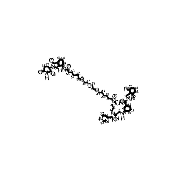 CN(CCCn1c(CNc2cccc(C(=O)NCc3c(F)cccc3F)c2)nnc1-c1ccncn1)C(=O)CCCCCOCCOCCOCCCCCC(=O)Nc1cccc2c1CN(C1CCC(=O)NC1=O)C2=O